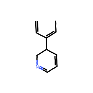 C=C/C(=C\C)C1C=CC=NC1